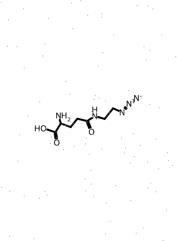 [N-]=[N+]=NCCNC(=O)CCC(N)C(=O)O